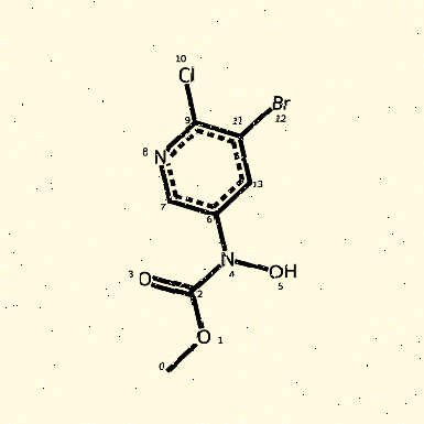 COC(=O)N(O)c1cnc(Cl)c(Br)c1